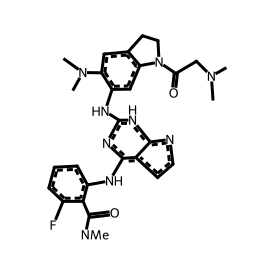 CNC(=O)c1c(F)cccc1Nc1nc(Nc2cc3c(cc2N(C)C)CCN3C(=O)CN(C)C)[nH]c2nccc1-2